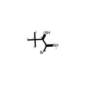 CC(C)(C)C(=N)C(=N)Br